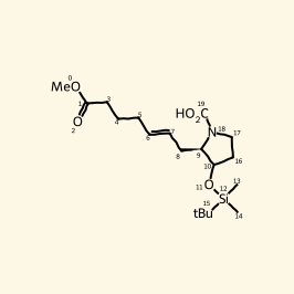 COC(=O)CCCC=CC[C@@H]1C(O[Si](C)(C)C(C)(C)C)CCN1C(=O)O